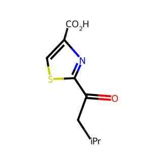 CC(C)CC(=O)c1nc(C(=O)O)cs1